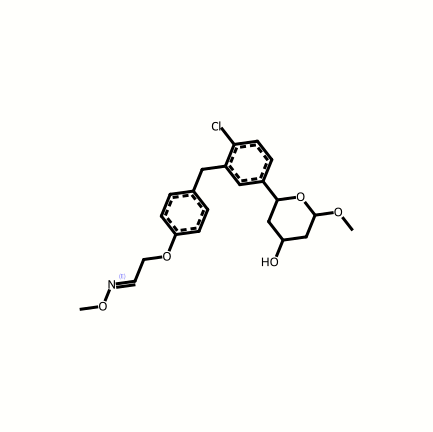 CO/N=C/COc1ccc(Cc2cc(C3CC(O)CC(OC)O3)ccc2Cl)cc1